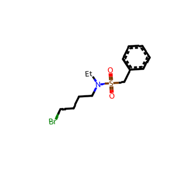 CCN(CCCCBr)S(=O)(=O)Cc1ccccc1